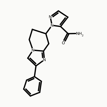 NC(=O)c1ccnn1C1CCn2cc(-c3ccccc3)nc2C1